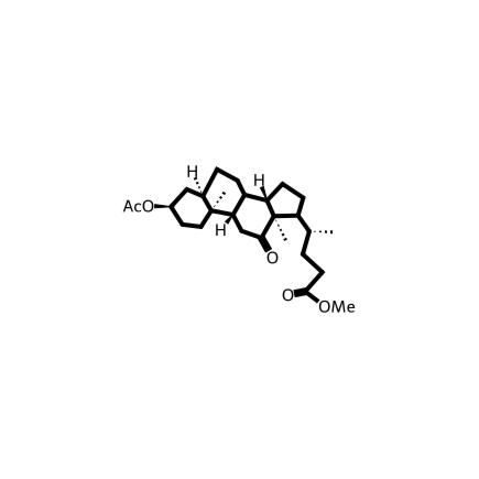 COC(=O)CC[C@@H](C)C1CC[C@H]2C3CC[C@@H]4C[C@H](OC(C)=O)CC[C@]4(C)[C@H]3CC(=O)[C@]12C